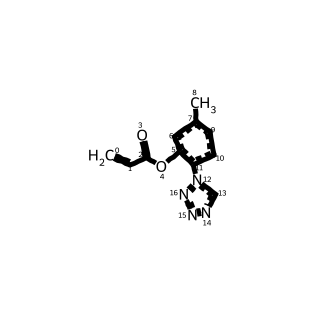 C=CC(=O)Oc1cc(C)ccc1-n1cnnn1